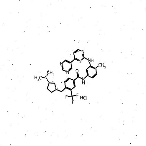 Cc1ccc(NC(=O)c2ccc(CN3CC[C@@H](N(C)C)C3)c(C(F)(F)F)c2)cc1Nc1nccc(-c2cncnc2)n1.Cl